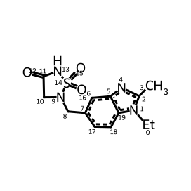 CCn1c(C)nc2cc(CN3CC(=O)NS3(=O)=O)ccc21